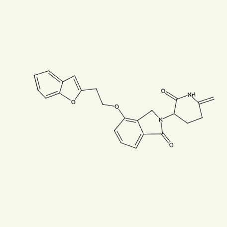 C=C1CCC(N2Cc3c(OCCc4cc5ccccc5o4)cccc3C2=O)C(=O)N1